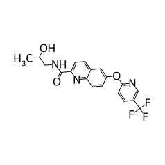 C[C@H](O)CNC(=O)c1ccc2cc(Oc3ccc(C(F)(F)F)cn3)ccc2n1